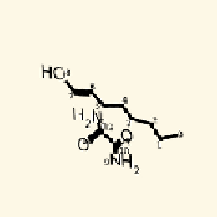 CCCCCCC=CO.NC(=O)C(N)=O